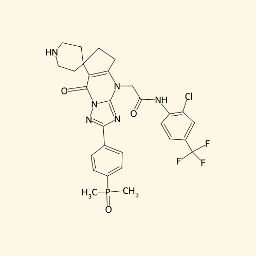 CP(C)(=O)c1ccc(-c2nc3n(CC(=O)Nc4ccc(C(F)(F)F)cc4Cl)c4c(c(=O)n3n2)C2(CCNCC2)CC4)cc1